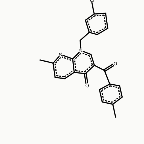 Cc1ccc(C(=O)c2cn(Cc3cccc(Cl)c3)c3nc(C)ccc3c2=O)cc1